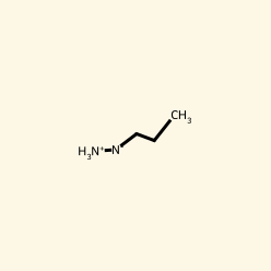 CCC[N-][NH3+]